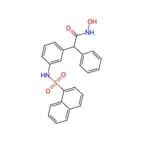 O=C(NO)C(c1ccccc1)c1cccc(NS(=O)(=O)c2cccc3ccccc23)c1